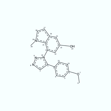 COc1ccc(-c2cnnn2-c2cc(O)cc3ccn(C)c23)cc1